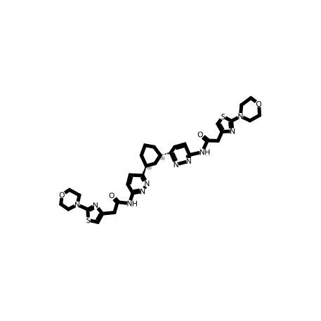 O=C(Cc1csc(N2CCOCC2)n1)Nc1ccc([C@H]2CCC[C@H](c3ccc(NC(=O)Cc4csc(N5CCOCC5)n4)nn3)C2)nn1